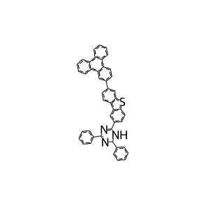 c1ccc(C2=NC(c3ccccc3)NC(c3ccc4sc5cc(-c6ccc7c8ccccc8c8ccccc8c7c6)ccc5c4c3)=N2)cc1